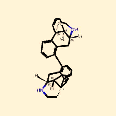 C1=C[C@]23CCN[C@H](Cc4c(-c5cccc6c5C[C@H]5NCC[C@@]67C=CCC[C@@H]57)cccc42)[C@@H]3CC1